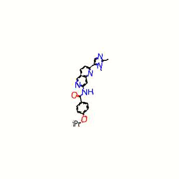 Cc1ncc(-c2ccc3cnc(NC(=O)c4ccc(OC(C)C)cc4)cc3n2)n1C